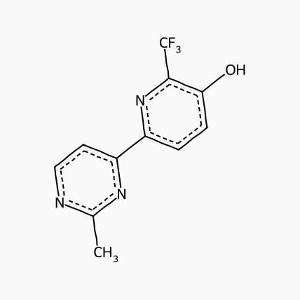 Cc1nccc(-c2ccc(O)c(C(F)(F)F)n2)n1